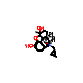 CC[C@@]12CCC(C)(O)C3Oc4c(O)ccc5c4[C@@]31CCN(CC1CC1)[C@@H]2C5